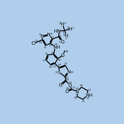 [2H]C([2H])([2H])NC(=O)c1nnc(Cl)cc1Nc1cccc(-c2cnc(C(=O)OC(=O)N3CCNCC3)s2)c1OC